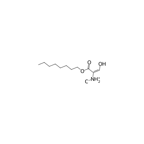 [CH2-][NH2+]/C(=C/O)C(=O)OCCCCCCCC